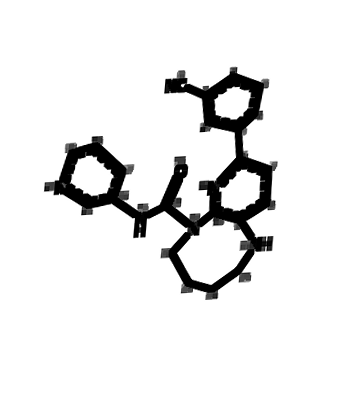 N#Cc1cccc(-c2ccc3c(n2)N(C(=O)Nc2cccnc2)CCCCN3)c1